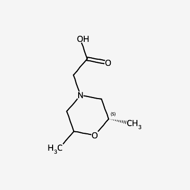 CC1CN(CC(=O)O)C[C@H](C)O1